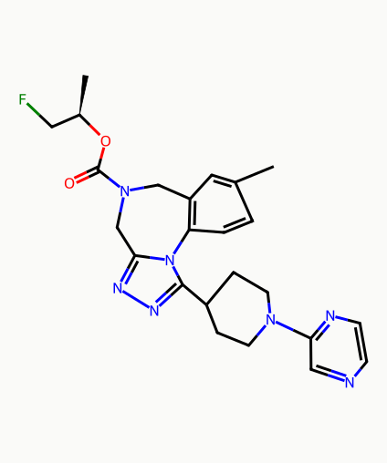 Cc1ccc2c(c1)CN(C(=O)O[C@H](C)CF)Cc1nnc(C3CCN(c4cnccn4)CC3)n1-2